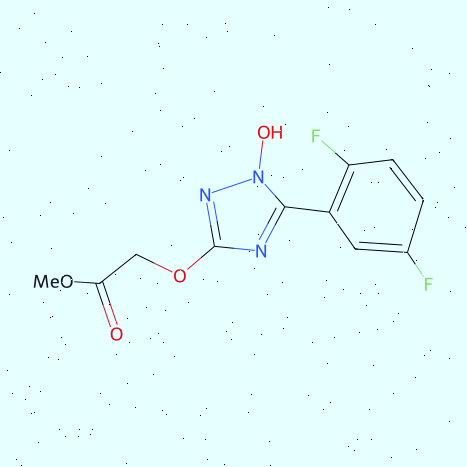 COC(=O)COc1nc(-c2cc(F)ccc2F)n(O)n1